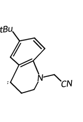 CC(C)(C)c1ccc2c(c1)[C]CCN2CC#N